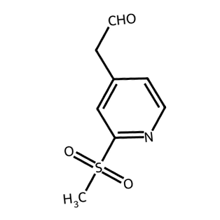 CS(=O)(=O)c1cc(CC=O)ccn1